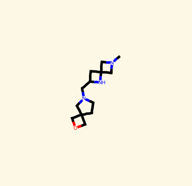 CN1CC2(CC(CN3CCC4(COC4)C3)N2)C1